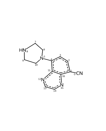 N#Cc1ccc(N2CCNCC2)c2nccnc12